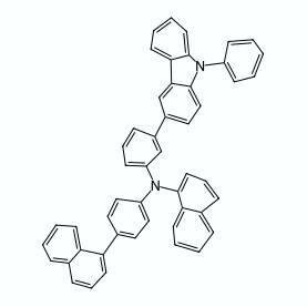 c1ccc(-n2c3ccccc3c3cc(-c4cccc(N(c5ccc(-c6cccc7ccccc67)cc5)c5cccc6ccccc56)c4)ccc32)cc1